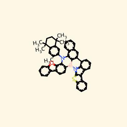 Cc1cc2c(cc1N1c3c4c(cc5ccccc35)-c3cccc5c6c7ccccc7sc6n(c35)B4c3ccc4c(oc5ccccc54)c31)C(C)(C)CCC2(C)C